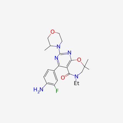 CCN1CC(C)(C)Oc2nc(N3CCOCC3C)nc(-c3ccc(N)c(F)c3)c2C1=O